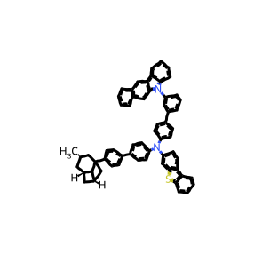 C[C@H]1C[C@H]2C[C@H]3CC(c4ccc(-c5ccc(N(c6ccc(-c7cccc(-n8c9ccccc9c9cc%10ccccc%10cc98)c7)cc6)c6ccc7c(c6)sc6ccccc67)cc5)cc4)(C1)C23